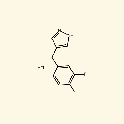 Cl.Fc1ccc(Cc2cn[nH]c2)cc1F